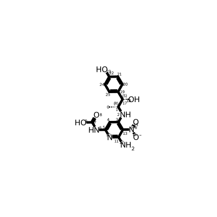 C[C@@H](Nc1cc(NC(=O)O)nc(N)c1[N+](=O)[O-])[C@@H](O)c1ccc(O)cc1